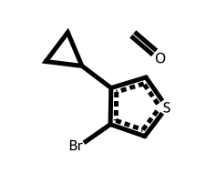 Brc1cscc1C1CC1.C=O